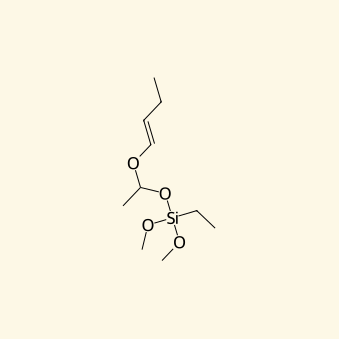 CCC=COC(C)O[Si](CC)(OC)OC